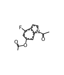 CC(=O)Oc1cc(F)c2ccn(C(C)=O)c2c1